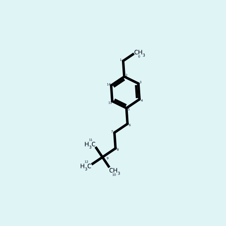 CCc1ccc(CCCC(C)(C)C)cc1